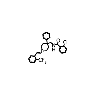 O=C(NCC1(c2ccccc2)CCN(C=Cc2ccccc2C(F)(F)F)CC1)c1ccccc1Cl